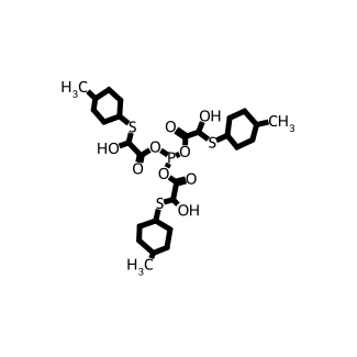 CC1CCC(SC(O)C(=O)OP(OC(=O)C(O)SC2CCC(C)CC2)OC(=O)C(O)SC2CCC(C)CC2)CC1